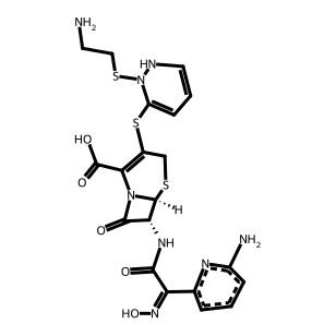 NCCSN1NC=CC=C1SC1=C(C(=O)O)N2C(=O)[C@@H](NC(=O)/C(=N\O)c3cccc(N)n3)[C@@H]2SC1